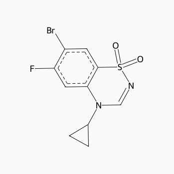 O=S1(=O)N=CN(C2CC2)c2cc(F)c(Br)cc21